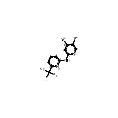 Fc1cnc(Nc2cccc(C(F)(F)F)n2)cc1Br